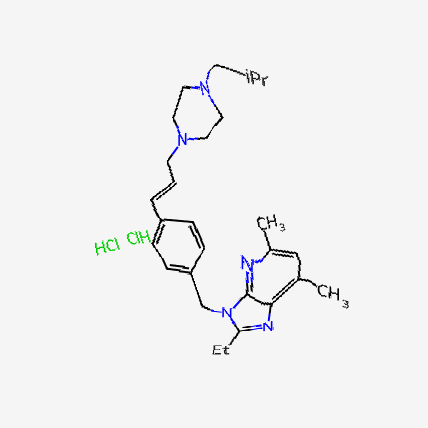 CCc1nc2c(C)cc(C)nc2n1Cc1ccc(C=CCN2CCN(CC(C)C)CC2)cc1.Cl.Cl